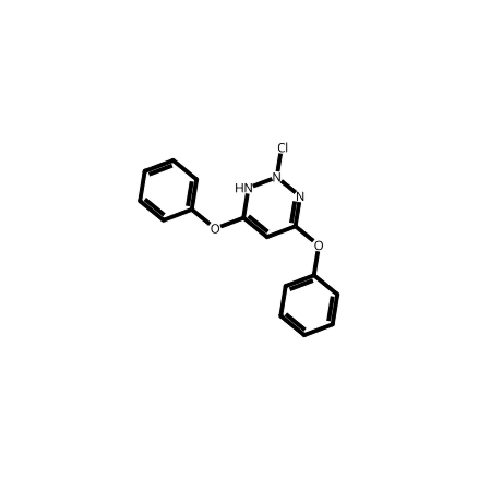 ClN1N=C(Oc2ccccc2)C=C(Oc2ccccc2)N1